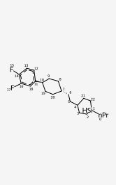 CCC[SiH]1CCC(CC[C@H]2CC[C@H](c3ccc(F)c(F)c3)CC2)CC1